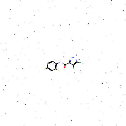 CC(=O)n1nc(C(=O)Nc2ccc(F)cc2F)c(Cl)c1Cl